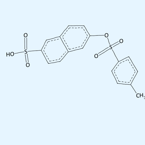 Cc1ccc(S(=O)(=O)Oc2ccc3cc(S(=O)(=O)O)ccc3c2)cc1